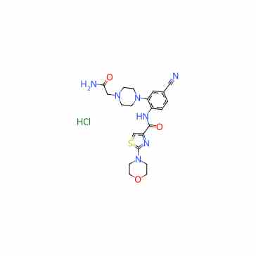 Cl.N#Cc1ccc(NC(=O)c2csc(N3CCOCC3)n2)c(N2CCN(CC(N)=O)CC2)c1